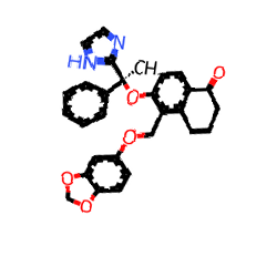 C[C@](Oc1ccc2c(c1COc1ccc3c(c1)OCO3)CCCC2=O)(c1ccccc1)c1ncc[nH]1